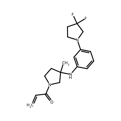 C=CC(=O)N1CCC(C)(Nc2cccc(N3CCC(F)(F)C3)c2)C1